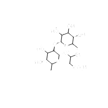 CCC(CC(=O)O)O[C@@H]1OC(C)[C@H](O)C(O)C1O[C@@H]1OC(C)[C@H](O)C(O)C1O